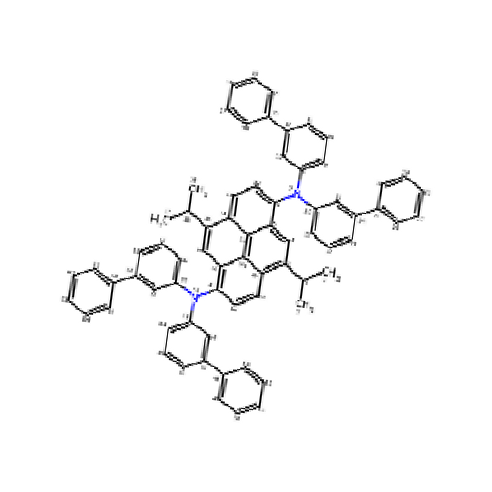 CC(C)c1cc2c(N(c3cccc(-c4ccccc4)c3)c3cccc(-c4ccccc4)c3)ccc3c(C(C)C)cc4c(N(c5cccc(-c6ccccc6)c5)c5cccc(-c6ccccc6)c5)ccc1c4c32